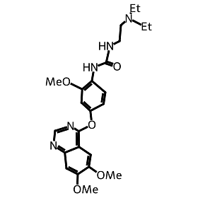 CCN(CC)CCNC(=O)Nc1ccc(Oc2ncnc3cc(OC)c(OC)cc23)cc1OC